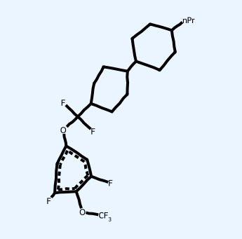 CCCC1CCC(C2CCC(C(F)(F)Oc3cc(F)c(OC(F)(F)F)c(F)c3)CC2)CC1